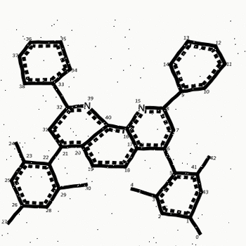 Cc1cc(C)c(-c2cc(-c3ccccc3)nc3c2ccc2c(-c4c(C)cc(C)cc4C)cc(-c4ccccc4)nc23)c(C)c1